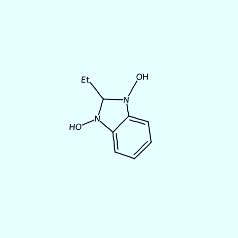 CCC1N(O)c2ccccc2N1O